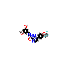 COc1cc(/C=N/NC(=O)c2nccc(-c3ccc(OC(F)(F)F)cc3)n2)cc(OC)c1